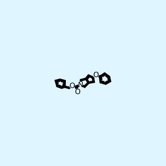 O=C(OCc1ccccc1)N1CC2=CC(Oc3ccccc3)CC2C1